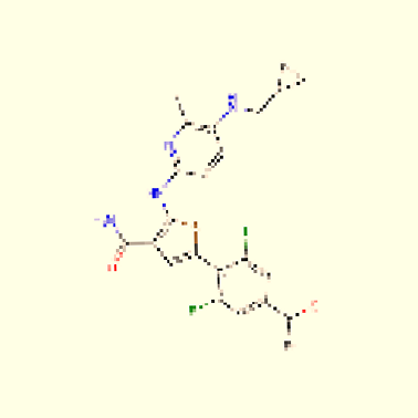 CCC(O)c1cc(F)c(-c2cc(C(N)=O)c(Nc3ccc(NCC4CC4)c(C)n3)s2)c(F)c1